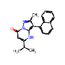 Cc1nn2c(=O)cc(C(C)C)[nH]c2c1-c1cccc2ccccc12